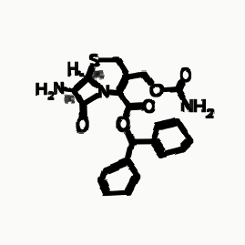 NC(=O)OCC1=C(C(=O)OC(c2ccccc2)c2ccccc2)N2C(=O)[C@@H](N)[C@H]2SC1